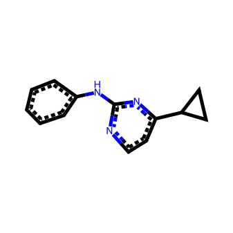 c1ccc(Nc2nccc(C3CC3)n2)cc1